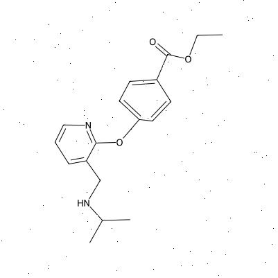 CCOC(=O)c1ccc(Oc2ncccc2CNC(C)C)cc1